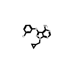 Nc1ncnc2c1c(Oc1cccc(Cl)c1)nn2CC1CC1